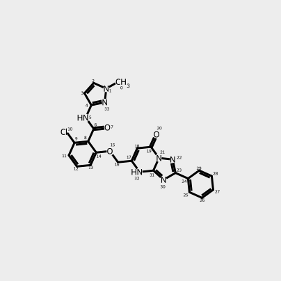 Cn1ccc(NC(=O)c2c(Cl)cccc2OCc2cc(=O)n3nc(-c4ccccc4)nc3[nH]2)n1